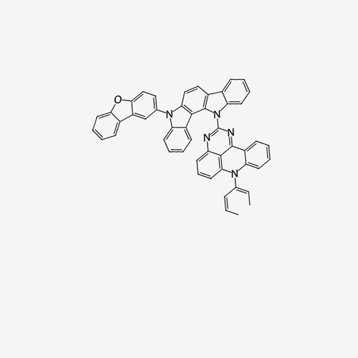 C/C=C\C(=C/C)N1c2ccccc2-c2nc(-n3c4ccccc4c4ccc5c(c6ccccc6n5-c5ccc6oc7ccccc7c6c5)c43)nc3cccc1c23